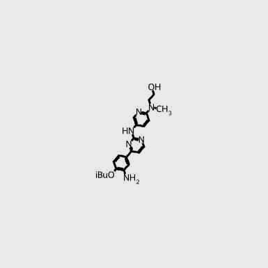 CC(C)COc1ccc(-c2ccnc(Nc3ccc(N(C)CCO)nc3)n2)cc1N